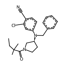 CCC(C)(C)C(=O)N1CC[C@H](N(Cc2ccccc2)c2ccc(C#N)c(Cl)c2)C1